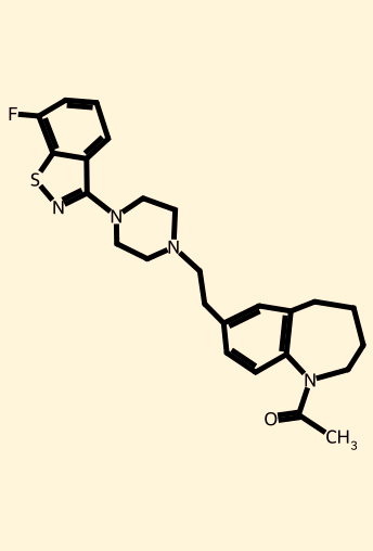 CC(=O)N1CCCCc2cc(CCN3CCN(c4nsc5c(F)cccc45)CC3)ccc21